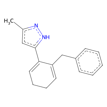 Cc1cc(C2=CCCC=C2Cc2ccccc2)[nH]n1